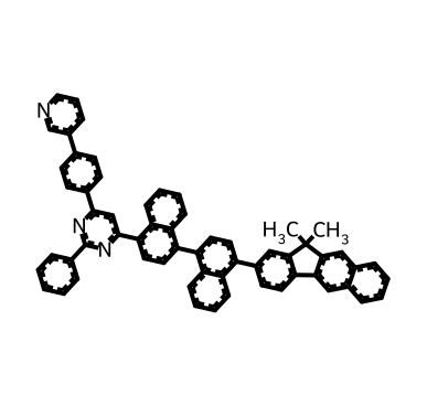 CC1(C)c2cc(-c3ccc(-c4ccc(-c5cc(-c6ccc(-c7cccnc7)cc6)nc(-c6ccccc6)n5)c5ccccc45)c4ccccc34)ccc2-c2cc3ccccc3cc21